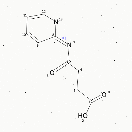 O=C(O)CCC(=O)/N=C1\C=CC=C[N]1